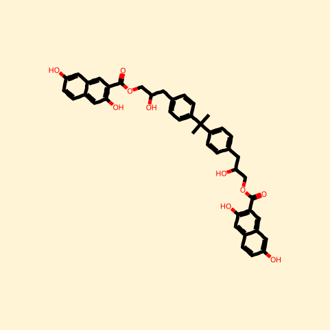 CC(C)(c1ccc(CC(O)COC(=O)c2cc3cc(O)ccc3cc2O)cc1)c1ccc(CC(O)COC(=O)c2cc3cc(O)ccc3cc2O)cc1